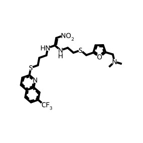 CN(C)Cc1ccc(CSCCNC(=C[N+](=O)[O-])NCCCSc2ccc3ccc(C(F)(F)F)cc3n2)o1